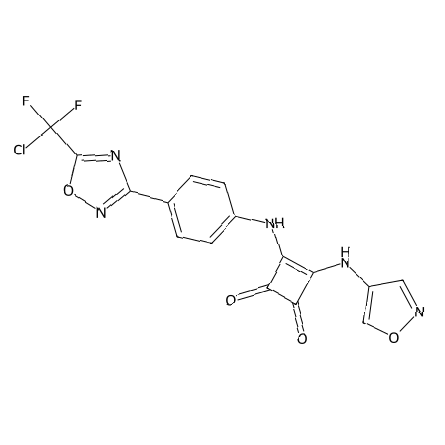 O=c1c(Nc2ccc(-c3noc(C(F)(F)Cl)n3)cc2)c(Nc2cnoc2)c1=O